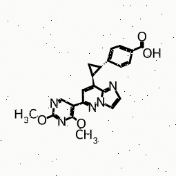 COc1ncc(-c2cc([C@H]3C[C@@H]3c3ccc(C(=O)O)cc3)c3nccn3n2)c(OC)n1